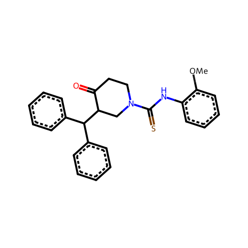 COc1ccccc1NC(=S)N1CCC(=O)C(C(c2ccccc2)c2ccccc2)C1